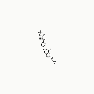 CC(NC(=O)OC(C)(C)C)c1ccc(CN2Cc3ccc(OCC4CC4)cc3[C@H](F)C2)cc1